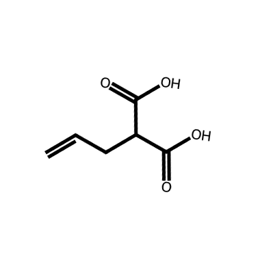 C=CCC(C(=O)O)C(=O)O